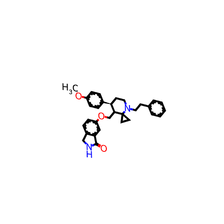 COc1ccc([C@H]2CCN(CCc3ccccc3)C3(CC3)C2COc2ccc3c(c2)C(=O)NC3)cc1